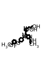 CCNc1cc2c(cn1)c(-c1cnn(C[C@H](O)CO)c1)nn2C1CCC(Oc2cccc(OC)c2F)CC1